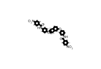 O=C(Nc1ccc(Oc2ccc3c(c2)C2CCC3C2Oc2ccc(NC(=O)c3ccc([N+](=O)[O-])cc3)cc2)cc1)c1ccc([N+](=O)[O-])cc1